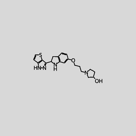 OC1CCN(CCCOc2ccc3c(c2)NC(c2n[nH]c4ccsc24)C3)C1